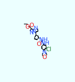 CCOC(=O)c1cnn2c(-c3cccc(NC(=O)Nc4ccc(N5CCOCC5)c(Cl)c4)c3)ccnc12